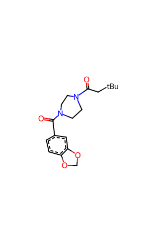 CC(C)(C)CC(=O)N1CCN(C(=O)c2ccc3c(c2)OCO3)CC1